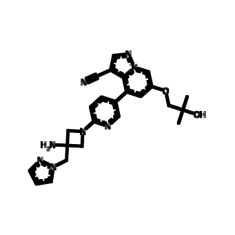 CC(C)(O)COc1cc(-c2ccc(N3CC(N)(Cn4cccn4)C3)nc2)c2c(C#N)cnn2c1